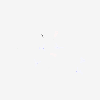 C[C@@H](C(=O)N[C@@H](Cc1cccc(Cl)c1)C(=O)NCc1cnc(N)s1)N(C)C